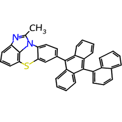 Cc1nc2cccc3c2n1-c1ccc(-c2c4ccccc4c(-c4cccc5ccccc45)c4ccccc24)cc1S3